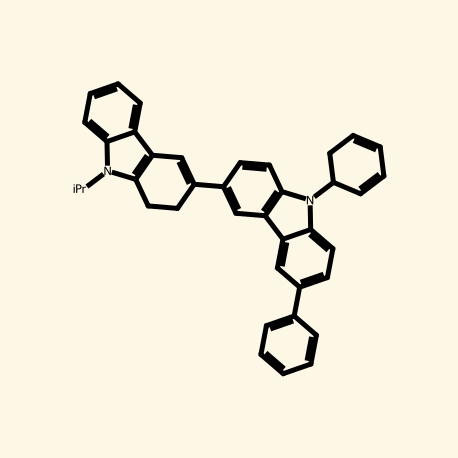 CC(C)n1c2c(c3ccccc31)C=C(c1ccc3c(c1)c1cc(-c4ccccc4)ccc1n3C1C=CC=CC1)CC2